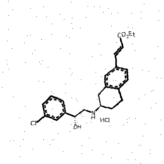 CCOC(=O)C=Cc1ccc2c(c1)C[C@H](NC[C@H](O)c1cccc(Cl)c1)CC2.Cl